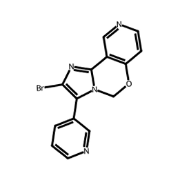 Brc1nc2n(c1-c1cccnc1)COc1ccncc1-2